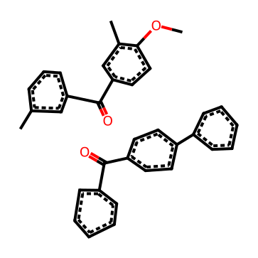 COc1ccc(C(=O)c2cccc(C)c2)cc1C.O=C(c1ccccc1)c1ccc(-c2ccccc2)cc1